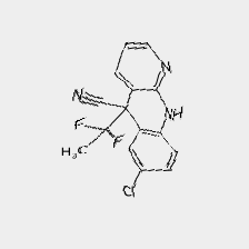 CC(F)(F)C1(C#N)c2cc(Cl)ccc2Nc2ncccc21